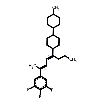 CCC/C(=C\C=C(/C)c1cc(F)c(F)c(F)c1)C1CCC(C2CCC(C)CC2)CC1